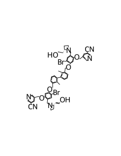 Cc1c(COc2cc(OCc3cncc(C#N)c3)c(CN3CC[C@H]3CCO)cc2Br)cccc1-c1cccc(COc2cc(OCc3cncc(C#N)c3)c(CN3CC[C@H]3/C=C/O)cc2Br)c1C